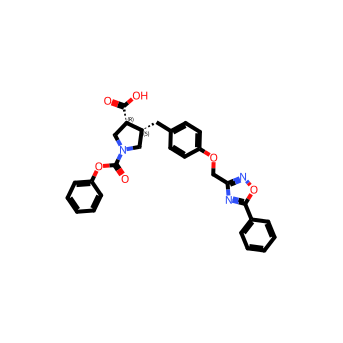 O=C(O)[C@H]1CN(C(=O)Oc2ccccc2)C[C@H]1Cc1ccc(OCc2noc(-c3ccccc3)n2)cc1